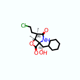 C[C@@]12OC(=O)[C@]1([C@@H](O)C1CCCCC1)NC(=O)[C@]2(C)CCCl